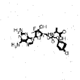 CC(NP(=O)(OC[C@H]1O[C@@H](n2cnc3c(N)nc(N)nc32)[C@](C)(F)[C@@H]1O)Oc1ccc(Cl)cc1)C(=O)O